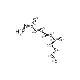 PN=S(=S)=S=S=S=S=S(=S)=S=S=S=S